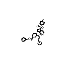 Cc1ccc(S(=O)(=O)n2ccc3c(N(CCN4CCCCC4)C4CCCN(C(=O)OCc5ccccc5)C4)ncnc32)cc1